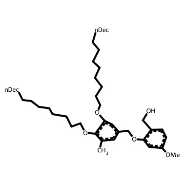 CCCCCCCCCCCCCCCCCCOc1cc(COc2cc(OC)ccc2CO)cc(C)c1OCCCCCCCCCCCCCCCCCC